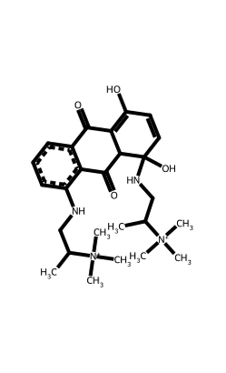 CC(CNc1cccc2c1C(=O)C1C(=C(O)C=CC1(O)NCC(C)[N+](C)(C)C)C2=O)[N+](C)(C)C